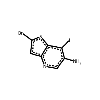 Nc1cnc2cc(Br)sc2c1I